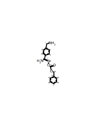 NCc1ccc(/C(N)=N/OC(=O)OCc2ccccc2)cc1